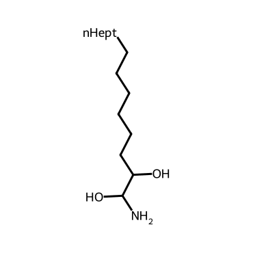 CCCCCCCCCCCCCC(O)C(N)O